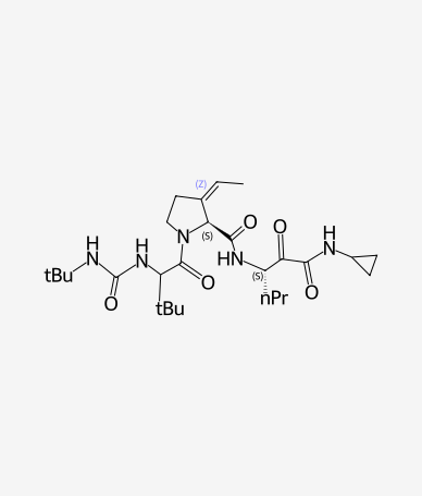 C/C=C1/CCN(C(=O)C(NC(=O)NC(C)(C)C)C(C)(C)C)[C@@H]1C(=O)N[C@@H](CCC)C(=O)C(=O)NC1CC1